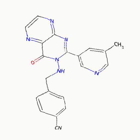 Cc1cncc(-c2nc3nccnc3c(=O)n2NCc2ccc(C#N)cc2)c1